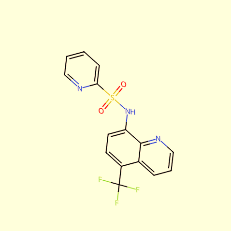 O=S(=O)(Nc1ccc(C(F)(F)F)c2cccnc12)c1ccccn1